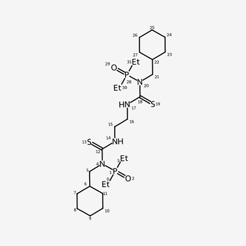 CCP(=O)(CC)N(CC1CCCCC1)C(=S)NCCNC(=S)N(CC1CCCCC1)P(=O)(CC)CC